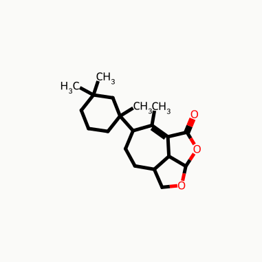 CC1=C2C(=O)OC3OCC(CCC1C1(C)CCCC(C)(C)C1)C23